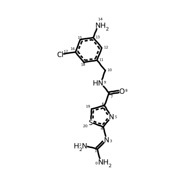 NC(N)=Nc1nc(C(=O)NCc2cc(N)cc(Cl)c2)cs1